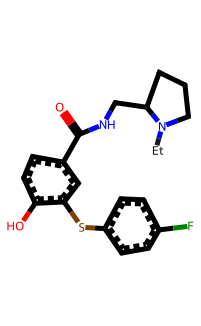 CCN1CCCC1CNC(=O)c1ccc(O)c(Sc2ccc(F)cc2)c1